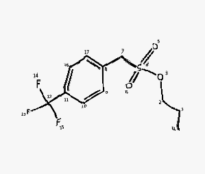 CCCOS(=O)(=O)Cc1ccc(C(F)(F)F)cc1